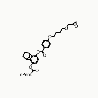 CCCCCC(=O)Oc1ccc(OC(=O)c2ccc(OCCCCOCC3CO3)cc2)c2c1C1CCC2C1